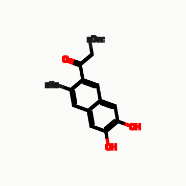 CCCCCCCCCCCC(=O)c1cc2cc(O)c(O)cc2cc1CCCC